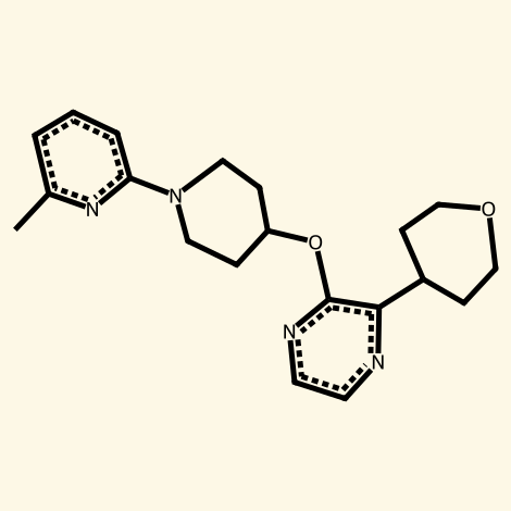 Cc1cccc(N2CCC(Oc3nccnc3C3CCOCC3)CC2)n1